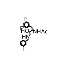 CC(=O)N[C@@H](Cc1cc(F)cc(F)c1)[C@H](O)CNCc1cccc(I)c1